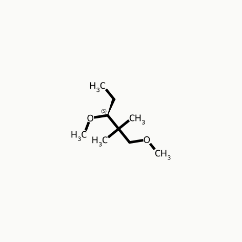 CC[C@H](OC)C(C)(C)COC